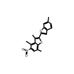 Cc1ccc2cc(-c3sc4c(C)cc([N+](=O)[O-])c(C)c4c3C)oc2c1